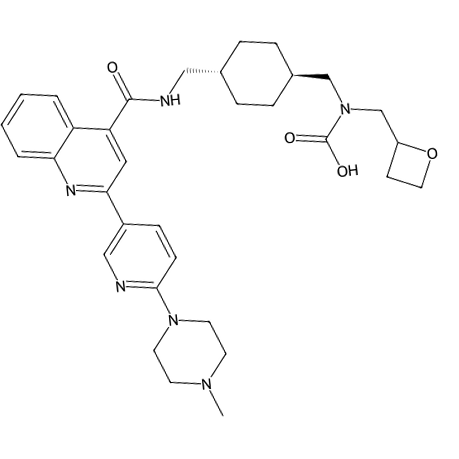 CN1CCN(c2ccc(-c3cc(C(=O)NC[C@H]4CC[C@H](CN(CC5CCO5)C(=O)O)CC4)c4ccccc4n3)cn2)CC1